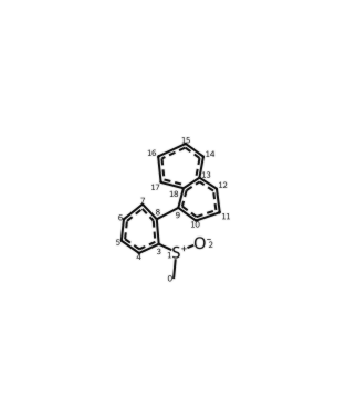 C[S+]([O-])c1ccccc1-c1cccc2ccccc12